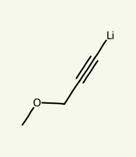 [Li][C]#CCOC